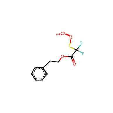 O=C(OCCc1ccccc1)C(F)(F)SOO